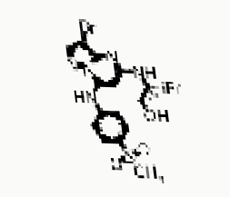 CC(C)[C@H](CO)Nc1cc(Nc2ccc(S(C)(=O)=O)cc2)n2ncc(Br)c2n1